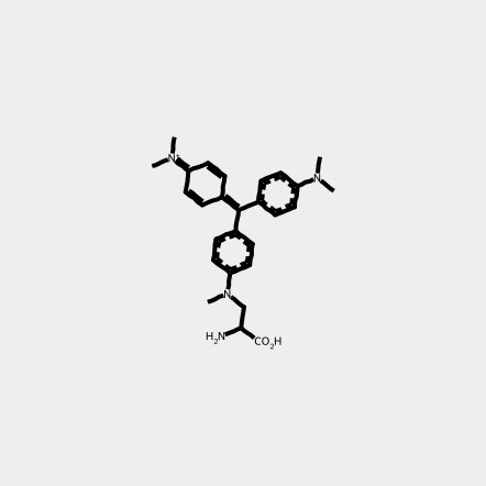 CN(C)c1ccc(C(=C2C=CC(=[N+](C)C)C=C2)c2ccc(N(C)CC(N)C(=O)O)cc2)cc1